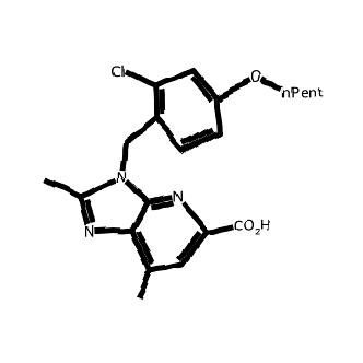 CCCCCOc1ccc(Cn2c(C)nc3c(C)cc(C(=O)O)nc32)c(Cl)c1